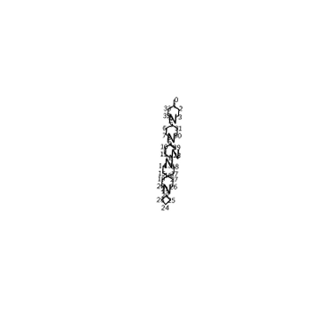 CC1CCN(C2CCN(c3ccc(N4CCC5(CC4)CCN(C4CCC4)CC5)nc3)CC2)CC1